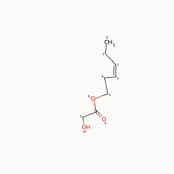 CC/C=C\CCOC(=O)CO